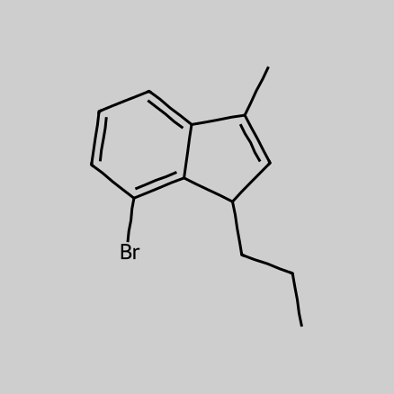 CCCC1C=C(C)c2cccc(Br)c21